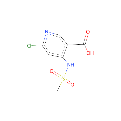 CS(=O)(=O)Nc1cc(Cl)ncc1C(=O)O